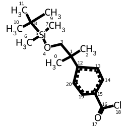 CC(C)(CO[Si](C)(C)C(C)(C)C)c1ccc(C(=O)Cl)cc1